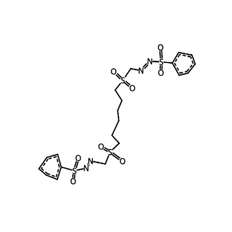 O=S(=O)(CCCCCCS(=O)(=O)CN=NS(=O)(=O)c1ccccc1)CN=NS(=O)(=O)c1ccccc1